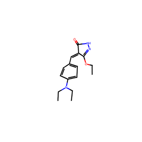 CCOC1=NNC(=O)/C1=C/c1ccc(N(CC)CC)cc1